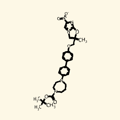 CC(C)(C)OC(=O)N1CCCN(c2ccc(-c3ccc(OCC4(C)Cn5cc([N+](=O)[O-])nc5O4)cc3)cc2)CC1